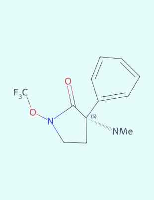 CN[C@]1(c2ccccc2)CCN(OC(F)(F)F)C1=O